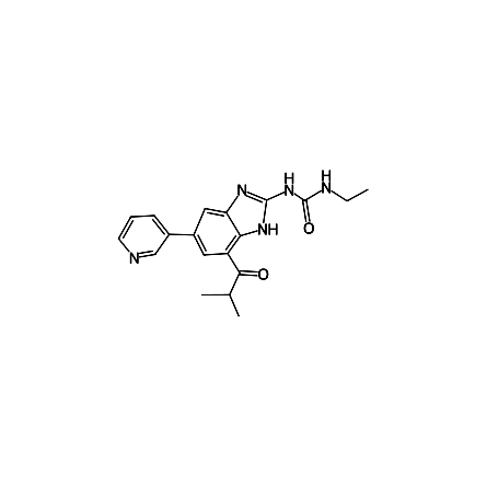 CCNC(=O)Nc1nc2cc(-c3cccnc3)cc(C(=O)C(C)C)c2[nH]1